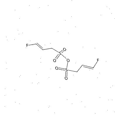 O=S(=O)(CC=CF)OS(=O)(=O)CC=CF